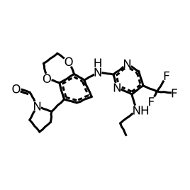 CCNc1nc(Nc2ccc(C3CCCN3C=O)c3c2OCCO3)ncc1C(F)(F)F